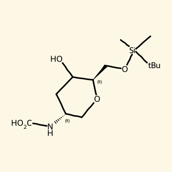 CC(C)(C)[Si](C)(C)OC[C@H]1OC[C@H](NC(=O)O)CC1O